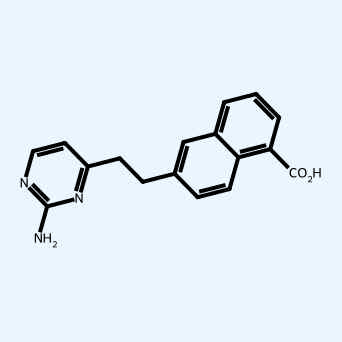 Nc1nccc(CCc2ccc3c(C(=O)O)cccc3c2)n1